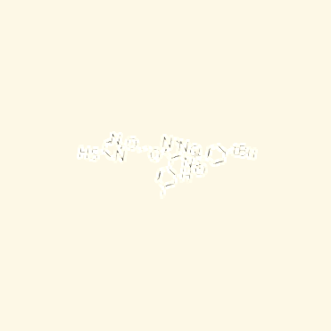 Cc1ccc(-c2c(NS(=O)(=O)c3ccc(C(C)(C)C)cc3)ncnc2OCCOc2ncc(S)cn2)cc1